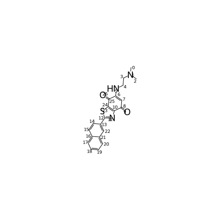 CN(C)CCNC1=CC(=O)c2nc(-c3ccc4ccccc4c3)sc2C1=O